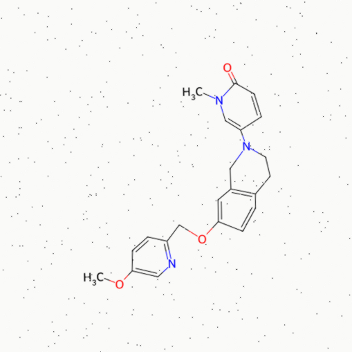 COc1ccc(COc2ccc3c(c2)CN(c2ccc(=O)n(C)c2)CC3)nc1